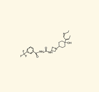 C/C=C(\C=N/CC)C1(O)CCC(N2CC(NC(=O)CNC(=O)c3cccc(C(F)(F)F)c3)C2)CC1